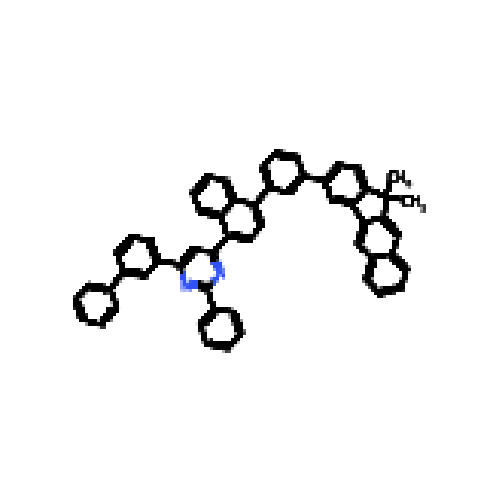 CC1(C)c2ccc(-c3cccc(-c4ccc(-c5cc(-c6cccc(-c7ccccc7)c6)nc(-c6ccccc6)n5)c5ccccc45)c3)cc2-c2cc3ccccc3cc21